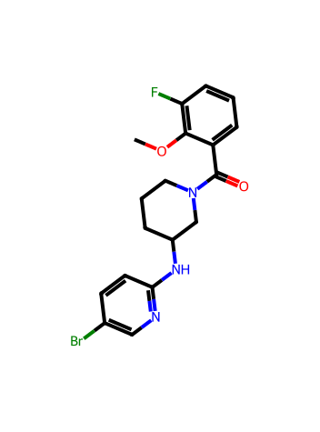 COc1c(F)cccc1C(=O)N1CCCC(Nc2ccc(Br)cn2)C1